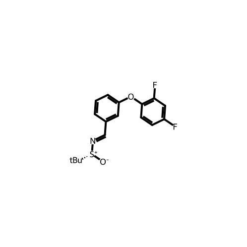 CC(C)(C)[S@@+]([O-])N=Cc1cccc(Oc2ccc(F)cc2F)c1